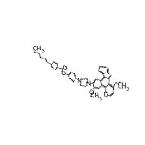 CCCCCCc1ccc(C(=O)Oc2ccc(N3CCN(c4cc5c(cc4OC)c4occc(CC)c4c4cc6ccccc6c54)CC3)cc2)cc1